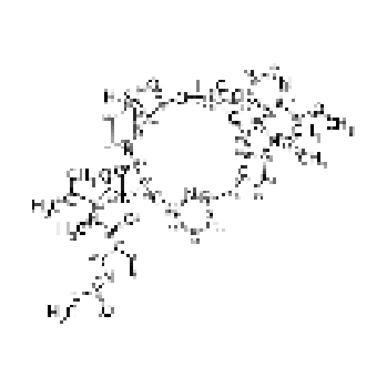 C=CC(=O)N1CC[C@H](C(=O)N(C)[C@H](C(=O)N[C@H]2Cc3cccc(n3)-c3ccc4c(c3)c(c(-c3cccnc3[C@H](C)OC)n4CC)CC(C)(C)COC(=O)[C@@]3([SiH3])CCCN(N3)C2=O)C(C)C)C1